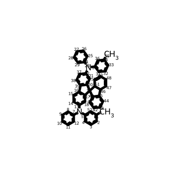 Cc1cccc(N(c2ccccc2)c2ccc3c(c2)C2(c4cc(N(c5ccccc5)c5cccc(C)c5)ccc4-3)c3ccccc3C3C=CC=CC32)c1